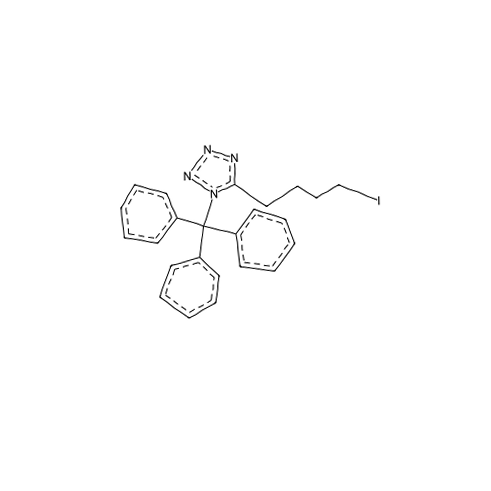 ICCCCc1nnnn1C(c1ccccc1)(c1ccccc1)c1ccccc1